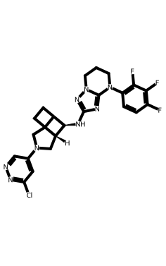 Fc1ccc(N2CCCn3nc(N[C@@H]4C5CCC56CN(c5cnnc(Cl)c5)C[C@@H]46)nc32)c(F)c1F